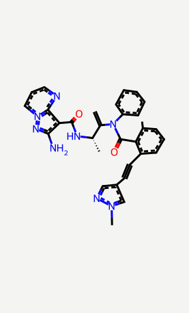 C=C([C@H](C)NC(=O)c1c(N)nn2cccnc12)N(C(=O)c1c(C)cccc1C#Cc1cnn(C)c1)c1ccccc1